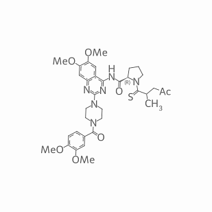 COc1ccc(C(=O)N2CCN(c3nc(NC(=O)[C@H]4CCCN4C(=S)C(C)CC(C)=O)c4cc(OC)c(OC)cc4n3)CC2)cc1OC